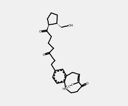 CC/C1=C\Cc2cc(CCC(=O)CCCC(=O)[C@H]3CCC[C@@H]3CO)ccc2NCCC1=O